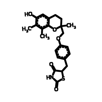 Cc1c(O)cc2c(c1C)OC(C)(COc1ccc(CC3SC(=O)NC3=O)cc1)CC2